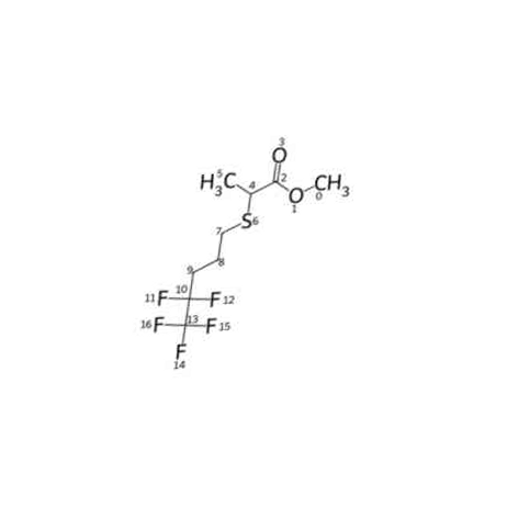 COC(=O)C(C)SCCCC(F)(F)C(F)(F)F